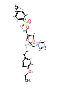 CCOc1ccc(CCC[C@@]2(Cn3ccnc3)OC[C@H](COS(=O)(=O)c3ccc(C)cc3)O2)cc1